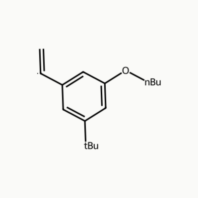 C=[C]c1cc(OCCCC)cc(C(C)(C)C)c1